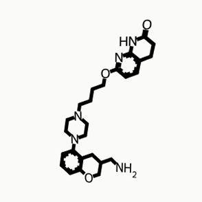 NCC1COc2cccc(N3CCN(CCCCOc4ccc5c(n4)NC(=O)CC5)CC3)c2C1